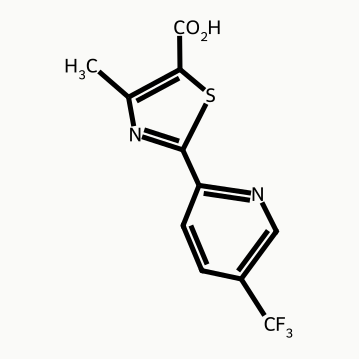 Cc1nc(-c2ccc(C(F)(F)F)cn2)sc1C(=O)O